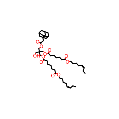 CC/C=C\CCCCOC(=O)CCCCCC(=O)OCC(CO)(COC(=O)CCCCCC(=O)OCCCC/C=C\CC)COC(=O)CC12CC3CC(CC(C3)C1)C2